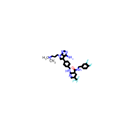 CN(C)CCCn1cc(-c2ccc(CNc3ncc(C(F)(F)F)cc3C(=O)NCc3ccc(F)c(F)c3)cc2)c2c(N)ncnc21